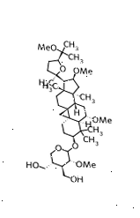 CO[C@H]1C[C@@]2(C)[C@@H]3C[C@H](OC)[C@H]4C(C)(C)[C@@H](OC5OC[C@@H](CO)[C@H](CO)[C@H]5OC)CC[C@@]45C[C@@]35CC[C@]2(C)[C@H]1[C@@]1(C)CC[C@@H](C(C)(C)OC)O1